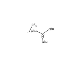 CCC[CH2][SnH]([CH2]CCC)[CH2]CCC.[CH2]C(F)(F)F